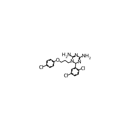 NC1=NC(c2cc(Cl)ccc2Cl)N(CCCOc2ccc(Cl)cc2)C(N)=N1